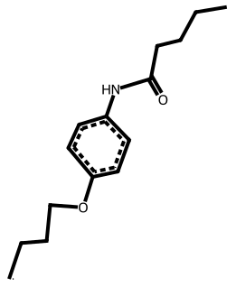 [CH2]CCCOc1ccc(NC(=O)CCCC)cc1